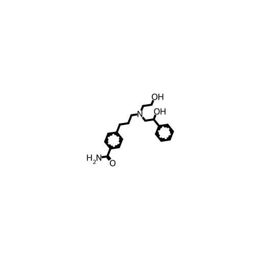 NC(=O)c1ccc(CCCN(CCO)CC(O)c2ccccc2)cc1